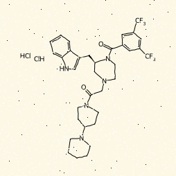 Cl.Cl.O=C(CN1CCN(C(=O)c2cc(C(F)(F)F)cc(C(F)(F)F)c2)[C@H](Cc2c[nH]c3ccccc23)C1)N1CCC(N2CCCCC2)CC1